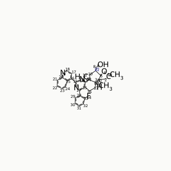 CCC[C@@]1(C)C(=O)/C(=C\O)C[C@@]2(C)c3nc(-c4ccnc5ccccc45)nc(-c4ccccc4F)c3CC[C@H]12